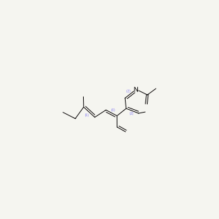 C=CC(=C\C=C(/C)CC)/C(/C=N\C(=C)C)=C/C